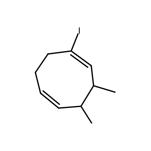 CC1C=CCCC(I)=CC1C